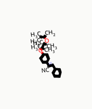 C=C(C)C(=C)OC(C)(C)C(C)(C)Oc1ccc(/C(C#N)=C/c2ccccc2)cc1